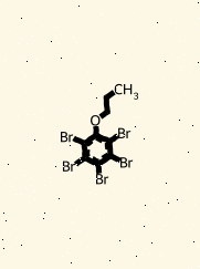 CCCOc1c(Br)c(Br)c(Br)c(Br)c1Br